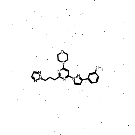 Cc1cccc(-c2ccn(-c3cc(N4CCOCC4)nc(CCCn4nccn4)n3)n2)c1